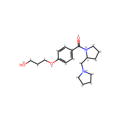 O=C(c1ccc(OCCCO)cc1)N1CCCC1CN1CCCC1